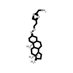 C=C1CCC2C3CCC4CC(=NOCCc5cnc(CN)o5)CC[C@]4(C)C3CC[C@]12C